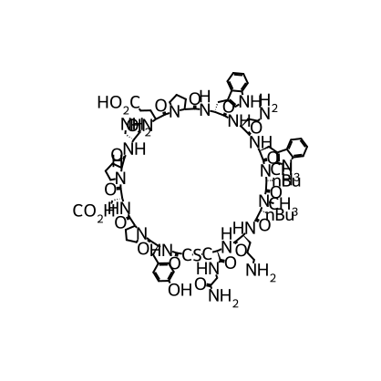 CCCC[C@@H]1C(=O)N(C)[C@H](CCCC)C(=O)N[C@@H](CCCN)C(=O)N[C@@H](C(=O)NCC(N)=O)CSCC(=O)N[C@@H](Cc2ccc(O)cc2)C(=O)N2CCCC2C(=O)N[C@H](CC(=O)O)C(=O)N2CCC[C@H]2C(=O)N[C@H](CN)C(=O)NC(CCC(=O)O)C(=O)N2CCCC2C(=O)N[C@H](Cc2c[nH]c3ccccc23)C(=O)N[C@@H](CCN)C(=O)N[C@@H](Cc2c[nH]c3ccccc23)C(=O)N1C